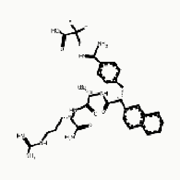 CC(C)(C)[C@H](NC(=O)[C@H](Cc1ccc(C(=N)N)cc1)c1ccc2ccccc2c1)C(=O)N[C@@H](CCCNC(=N)N)C(N)=O.O=C(O)C(F)(F)F